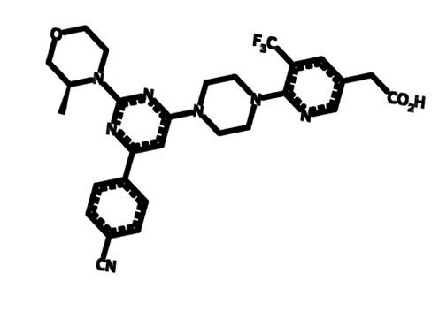 C[C@H]1COCCN1c1nc(-c2ccc(C#N)cc2)cc(N2CCN(c3ncc(CC(=O)O)cc3C(F)(F)F)CC2)n1